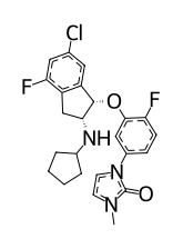 Cn1ccn(-c2ccc(F)c(O[C@H]3c4cc(Cl)cc(F)c4C[C@H]3NC3CCCC3)c2)c1=O